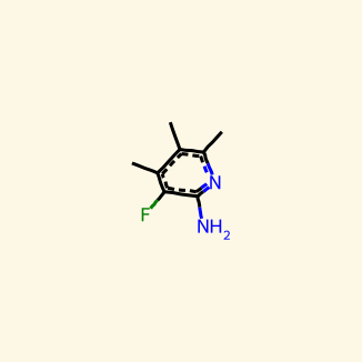 Cc1nc(N)c(F)c(C)c1C